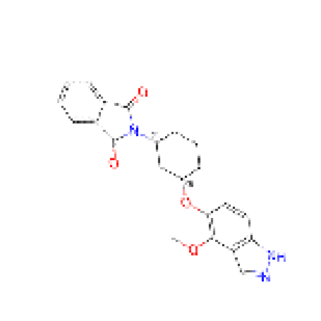 COc1c(O[C@H]2CCC[C@@H](N3C(=O)c4ccccc4C3=O)C2)ccc2[nH]ncc12